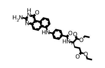 CCOC(=O)CC[C@@H](NC(=O)c1ccc(Nc2cccc3c2ccc2nc(N)[nH]c(=O)c23)cc1)C(=O)OCC